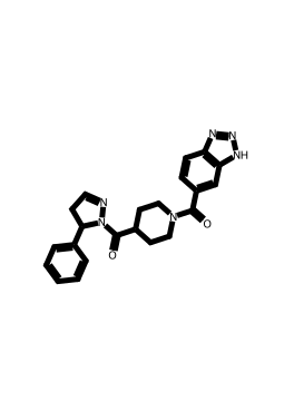 O=C(c1ccc2nn[nH]c2c1)N1CCC(C(=O)N2N=CCC2c2ccccc2)CC1